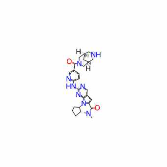 CN(C)C(=O)c1cc2cnc(Nc3ccc(C(=O)N4C[C@@H]5CNC[C@@H](C5)C4)cn3)nc2n1C1CCCC1